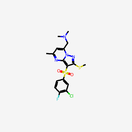 CSc1nn2c(CN(C)C)cc(C)nc2c1S(=O)(=O)c1ccc(F)c(Cl)c1